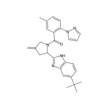 C=C1CC(c2nc3cc(C(C)(C)C)ccc3[nH]2)N(C(=O)c2cc(C)ccc2-n2cccn2)C1